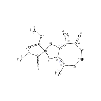 COC(=O)C1(C(=O)OC)CC2=C(\C)CNCC(=O)/C(C)=C\2C1